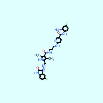 Cc1[nH]c(/C=N/N=C2\C(=O)Nc3ccc(F)cc32)c(C)c1C(=O)NCCCNc1ccc(C(=O)Nc2ccc(F)cc2N)cn1